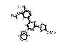 COC1CCN(c2nc(-c3cnc(N)c(OC(F)F)c3)cc(N3CC4CC3CO4)n2)C1